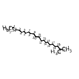 C=C[SiH2]CCCCCCCCCCCCCCCCCC(C)C